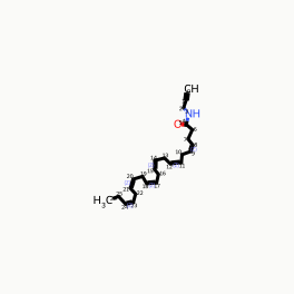 C#CCNC(=O)CC/C=C\C/C=C\C/C=C\C/C=C\C/C=C\C/C=C\CC